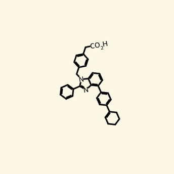 O=C(O)Cc1ccc(Cn2c(-c3ccccc3)nc3c(-c4ccc(C5=CCCCC5)cc4)cccc32)cc1